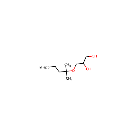 CCCCCCCCCC(C)(C)OCC(O)CO